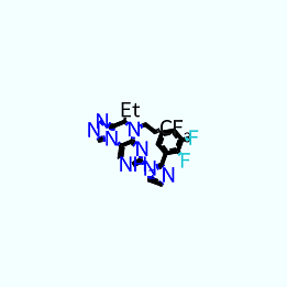 C=C(/N=C1\C(=C/N)n2cnnc2[C@@H](CC)N1CCC(F)(F)F)n1ccnc1-c1cccc(F)c1F